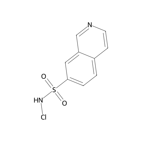 O=S(=O)(NCl)c1ccc2ccncc2c1